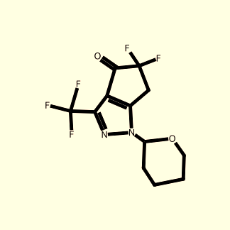 O=C1c2c(C(F)(F)F)nn(C3CCCCO3)c2CC1(F)F